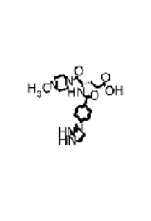 CN1CCN(C(=O)[C@H](CCC(=O)O)NC(=O)c2ccc(N3C=CNN3)cc2)CC1